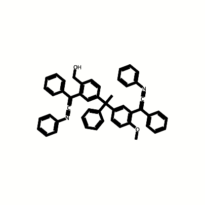 COc1ccc(C(C)(c2ccccc2)c2ccc(CO)c(C(=C=Nc3ccccc3)c3ccccc3)c2)cc1C(=C=Nc1ccccc1)c1ccccc1